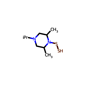 CC(C)N1CC(C)N(SS)C(C)C1